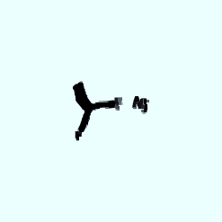 C=C(F)F.[Ag]